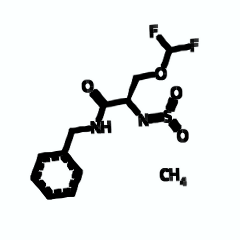 C.O=C(NCc1ccccc1)[C@@H](COC(F)F)N=S(=O)=O